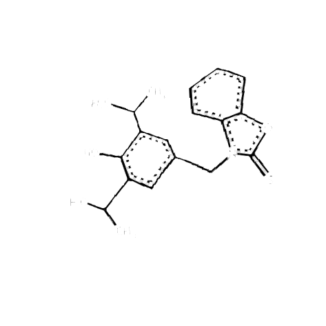 CC(C)c1cc(Cn2c(=S)oc3ccccc32)cc(C(C)C)c1O